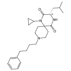 CC(C)C[C@@H]1NC(=O)C2(CCN(CCCCc3ccccc3)CC2)N(C2CC2)C1=O